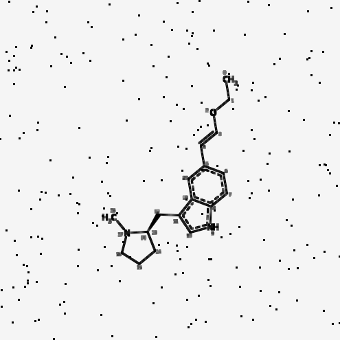 CCOC=Cc1ccc2[nH]cc(C[C@H]3CCCN3C)c2c1